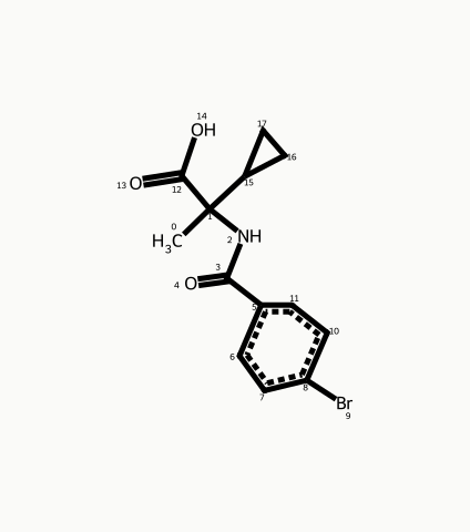 CC(NC(=O)c1ccc(Br)cc1)(C(=O)O)C1CC1